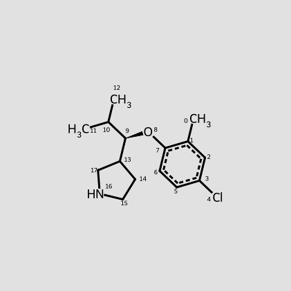 Cc1cc(Cl)ccc1O[C@H](C(C)C)C1CCNC1